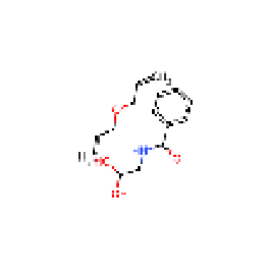 C=CCOCC=C.O=C(NCC(O)O)c1ccccc1